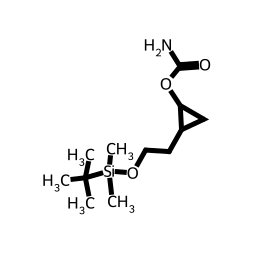 CC(C)(C)[Si](C)(C)OCCC1CC1OC(N)=O